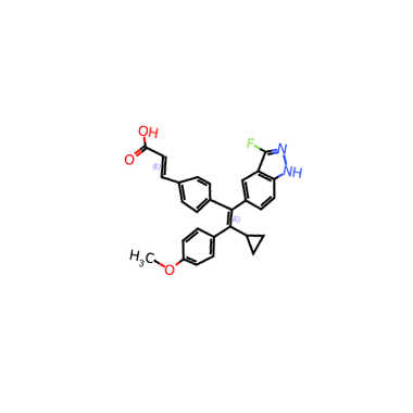 COc1ccc(/C(=C(\c2ccc(/C=C/C(=O)O)cc2)c2ccc3[nH]nc(F)c3c2)C2CC2)cc1